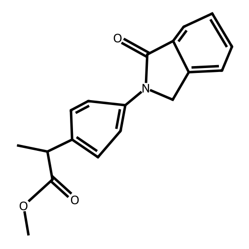 COC(=O)C(C)c1ccc(N2Cc3ccccc3C2=O)cc1